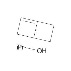 C1=C2CCC2C1.CC(C)O